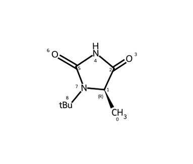 C[C@@H]1C(=O)NC(=O)N1C(C)(C)C